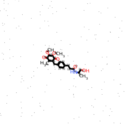 COC1=C(OC)C(=O)C(Cc2ccc(CCC(=O)NC(C)CO)cc2)=C(C)C1=O